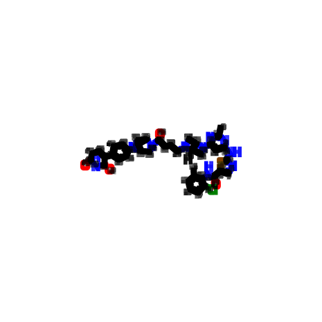 Cc1nc(Nc2ncc(C(=O)Nc3c(C)cccc3Cl)s2)cc(N2C[C@H]3C2CN3CCCC(=O)N2CC3CC2CN3c2ccc(C3CCC(=O)NC3=O)cc2)n1